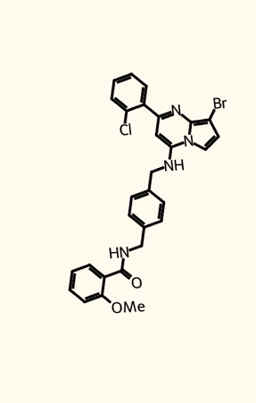 COc1ccccc1C(=O)NCc1ccc(CNc2cc(-c3ccccc3Cl)nc3c(Br)ccn23)cc1